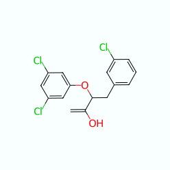 C=C(O)C(Cc1cccc(Cl)c1)Oc1cc(Cl)cc(Cl)c1